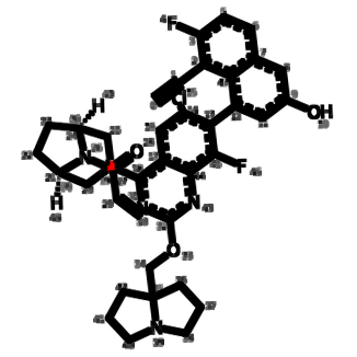 C#Cc1c(F)ccc2cc(O)cc(-c3c(Cl)cc4c(N5C[C@H]6CC[C@@H](C5)N6C(=O)C=C)nc(OCC56CCCN5CCC6)nc4c3F)c12